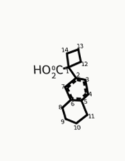 O=C(O)C1(c2ccc3c(c2)CCCC3)CCC1